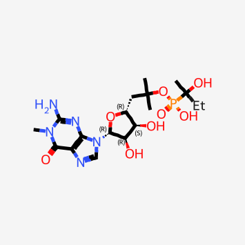 CCC(C)(O)P(=O)(O)OC(C)(C)C[C@H]1O[C@@H](n2cnc3c(=O)n(C)c(N)nc32)[C@H](O)[C@@H]1O